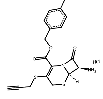 C#CCSC1=C(C(=O)OCc2ccc(OC)cc2)N2C(=O)[C@@H](N)[C@H]2SC1.Cl